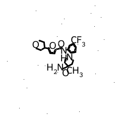 CC1(C(N)=O)CCN(c2ccc(C(F)(F)F)cc2NC(=O)c2ccc(C3CCOCC3)o2)CC1